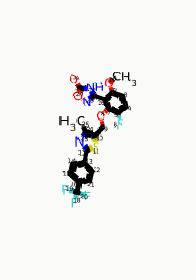 COc1ccc(F)c(OCc2sc(-c3ccc(C(F)(F)F)cc3)nc2C)c1-c1noc(=O)[nH]1